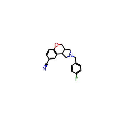 N#Cc1ccc2c(c1)C1CN(Cc3ccc(F)cc3)CC1CO2